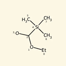 CCOC([O])[Si](C)(C)C